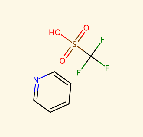 O=S(=O)(O)C(F)(F)F.c1ccncc1